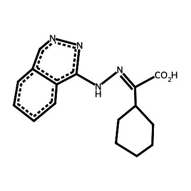 O=C(O)/C(=N/Nc1nncc2ccccc12)C1CCCCC1